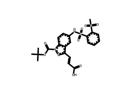 CC(C)(C)OC(=O)n1nc(/C=C/C(=O)O)c2cc(NS(=O)(=O)c3ccccc3S(C)(=O)=O)ccc21